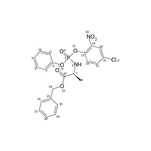 C[C@H](NP(=O)(Oc1ccccc1)Oc1ccc(Cl)cc1[N+](=O)[O-])C(=O)OCc1ccccc1